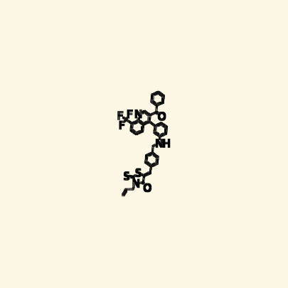 C=CCN1C(=O)C(=Cc2ccc(CNc3cccc(-c4c(C(=O)c5ccccc5)cnc5c(C(F)(F)F)cccc45)c3)cc2)SC1=S